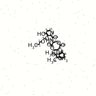 CCCOCOc1c(O)ccnc1C(=O)N[C@H]1COC(=O)[C@H](Cc2ccccc2)[C@@H](OC(=O)C(C)C)[C@H](C)OC1=O